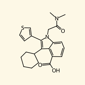 CN(C)C(=O)Cn1c(-c2ccsc2)c(C2CCCCC2)c2c(C(=O)O)cccc21